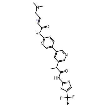 CC(C(=O)Nc1ncc(C(F)(F)F)s1)c1cncc(-c2ccc(NC(=O)/C=C/CN(C)C)nc2)c1